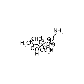 CN(C)C(=O)C[C@](O)(C(=O)O)C(C)(C)COS(=O)(=O)CCCN